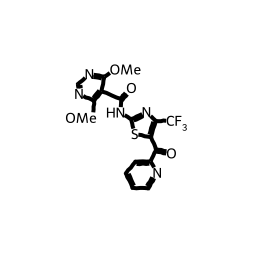 COc1ncnc(OC)c1C(=O)Nc1nc(C(F)(F)F)c(C(=O)c2ccccn2)s1